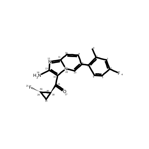 Cc1cc(F)ccc1-c1ccc2nc(N)c(C(=O)[C@H]3C[C@@H]3F)n2c1